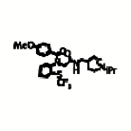 COc1ccc(C(=O)N(CC(=O)NCC2CCN(C(C)C)CC2)c2ccccc2SC(F)(F)F)cc1